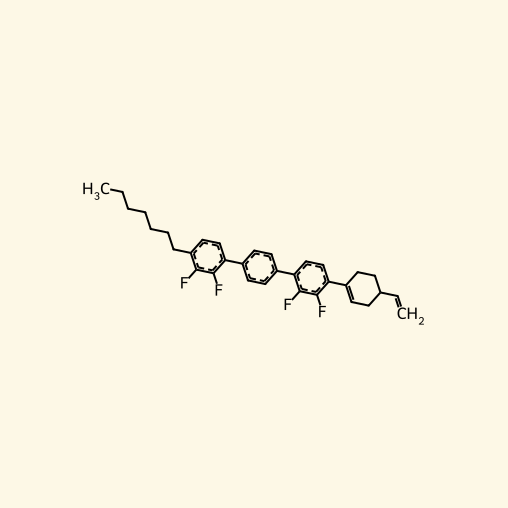 C=CC1CC=C(c2ccc(-c3ccc(-c4ccc(CCCCCCC)c(F)c4F)cc3)c(F)c2F)CC1